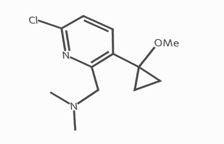 COC1(c2ccc(Cl)nc2CN(C)C)CC1